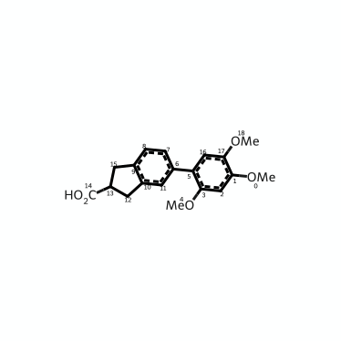 COc1cc(OC)c(-c2ccc3c(c2)CC(C(=O)O)C3)cc1OC